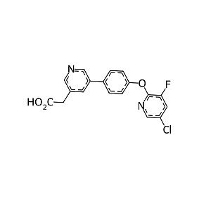 O=C(O)Cc1cncc(-c2ccc(Oc3ncc(Cl)cc3F)cc2)c1